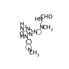 CN1CCc2cc(Nc3nc(N4CCCC(N(C)CCNC=O)C4)cnc3C(N)=O)ccc2C1